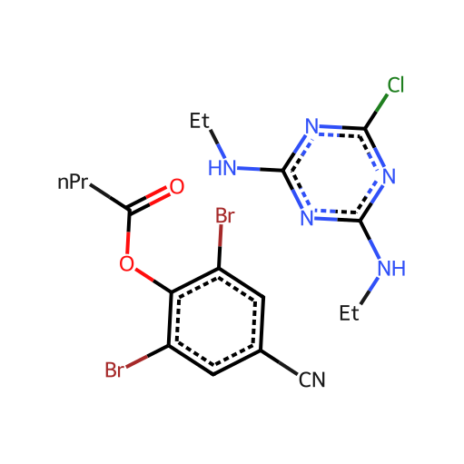 CCCC(=O)Oc1c(Br)cc(C#N)cc1Br.CCNc1nc(Cl)nc(NCC)n1